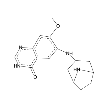 COc1cc2nc[nH]c(=O)c2cc1NC1CC2CCC(C1)N2